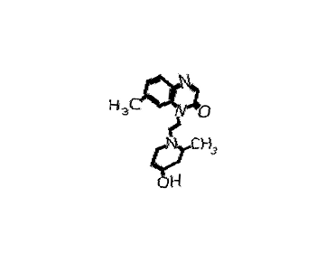 Cc1ccc2ncc(=O)n(CCN3CCC(O)CC3C)c2c1